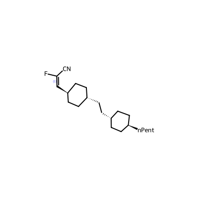 CCCCC[C@H]1CC[C@H](CC[C@H]2CC[C@H](/C=C(/F)C#N)CC2)CC1